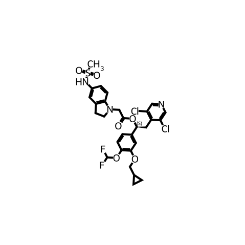 CS(=O)(=O)Nc1ccc2c(c1)CCN2CC(=O)O[C@@H](Cc1c(Cl)cncc1Cl)c1ccc(OC(F)F)c(OCC2CC2)c1